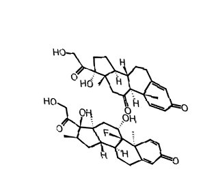 C[C@@H]1C[C@H]2[C@@H]3CCC4=CC(=O)C=C[C@]4(C)[C@@]3(F)[C@@H](O)C[C@]2(C)[C@@]1(O)C(=O)CO.C[C@]12C=CC(=O)C=C1CC[C@@H]1[C@@H]2C(=O)C[C@@]2(C)[C@H]1CC[C@]2(O)C(=O)CO